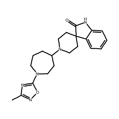 Cc1noc(N2CCCC(N3CCC4(CC3)C(=O)Nc3ccccc34)CC2)n1